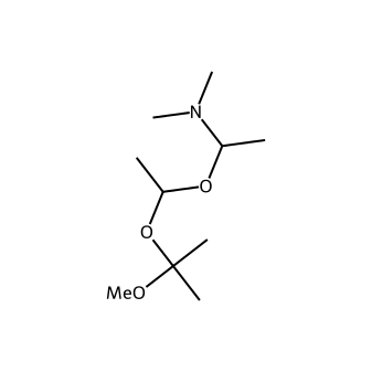 COC(C)(C)OC(C)OC(C)N(C)C